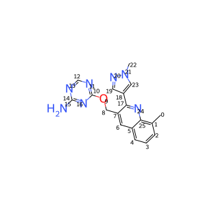 Cc1cccc2cc(COc3ncnc(N)n3)c(-c3cnn(C)c3)nc12